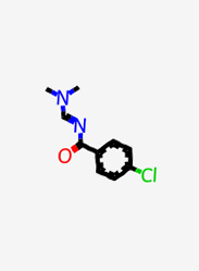 CN(C)C=NC(=O)c1ccc(Cl)cc1